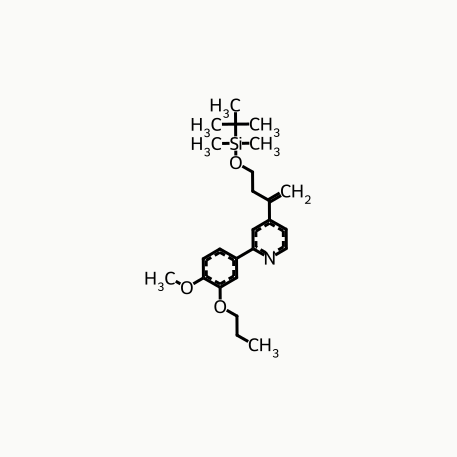 C=C(CCO[Si](C)(C)C(C)(C)C)c1ccnc(-c2ccc(OC)c(OCCC)c2)c1